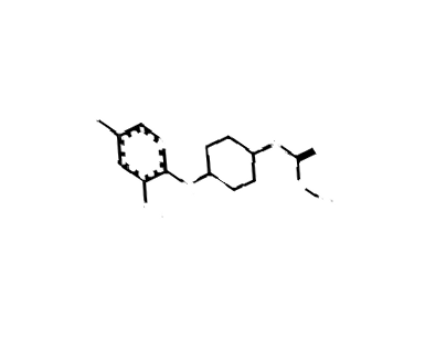 CC(C)(C)OC(=O)NC1CCC(Nc2ncc(Cl)cc2[N+](=O)[O-])CC1